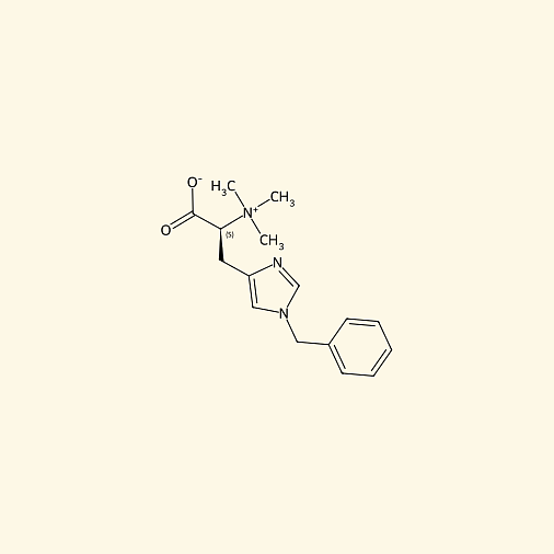 C[N+](C)(C)[C@@H](Cc1cn(Cc2ccccc2)cn1)C(=O)[O-]